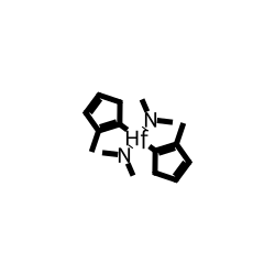 CC1=[C]([Hf]([C]2=C(C)C=CC2)([N](C)C)[N](C)C)CC=C1